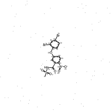 CS(=O)(=O)NC(=O)c1cc(Oc2ccc(Br)cc2Br)ccc1[N+](=O)[O-]